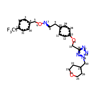 FC(F)(F)c1ccc(CON=CCc2ccc(OCc3nnn(CC4CCOCC4)n3)cc2)cc1